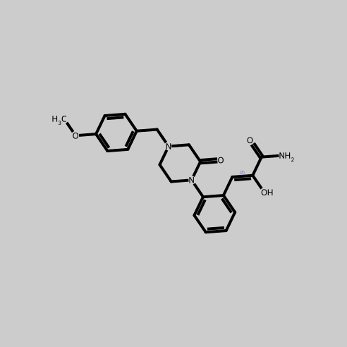 COc1ccc(CN2CCN(c3ccccc3/C=C(\O)C(N)=O)C(=O)C2)cc1